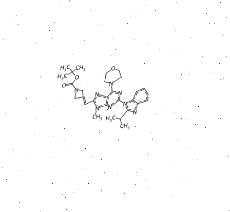 CC(C)c1nc2ccccc2n1-c1nc(N2CCOCC2)c2nc(C=C3CN(C(=O)OC(C)(C)C)C3)n(C)c2n1